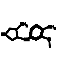 COc1cc(NC2CNCC2N)ccc1N